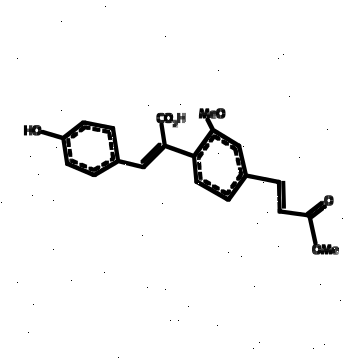 COC(=O)C=Cc1ccc(C(=Cc2ccc(O)cc2)C(=O)O)c(OC)c1